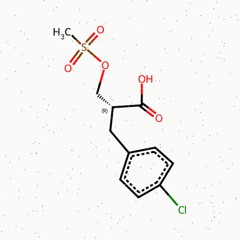 CS(=O)(=O)OC[C@@H](Cc1ccc(Cl)cc1)C(=O)O